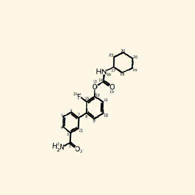 NC(=O)c1cccc(-c2cccc(OC(=O)NC3CCCCC3)c2F)c1